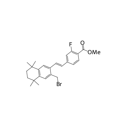 COC(=O)c1ccc(C=Cc2cc3c(cc2CBr)C(C)(C)CCC3(C)C)cc1F